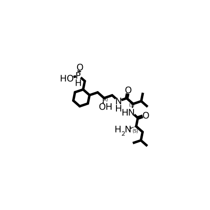 CC(C)C[C@H](N)C(=O)N[C@H](C(=O)NC[C@H](O)CC1CCCCC1C[PH](=O)O)C(C)C